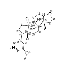 COc1cncc(C2=CC[C@H]3[C@@H]4CCC5OCC[C@]5(C)[C@H]4CC[C@]23C)c1